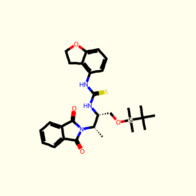 C[C@@H]([C@@H](CO[Si](C)(C)C(C)(C)C)NC(=S)Nc1cccc2c1CCO2)N1C(=O)c2ccccc2C1=O